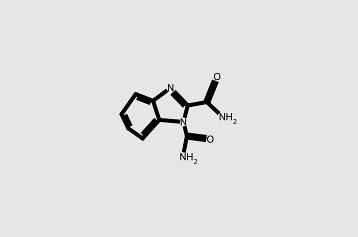 NC(=O)c1nc2ccccc2n1C(N)=O